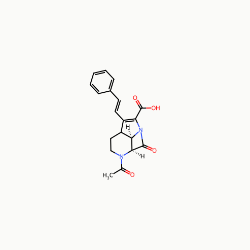 CC(=O)N1CCC2C(/C=C/c3ccccc3)=C(C(=O)O)N3C(=O)[C@@H]1[C@@H]23